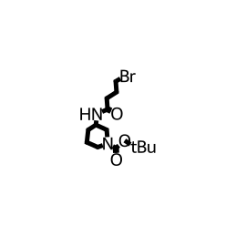 CC(C)(C)OC(=O)N1CCCC(NC(=O)CCCBr)C1